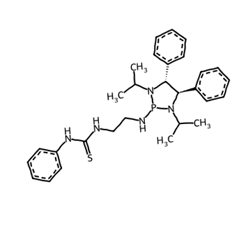 CC(C)N1[C@H](c2ccccc2)[C@@H](c2ccccc2)N(C(C)C)P1NCCNC(=S)Nc1ccccc1